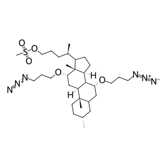 C[C@@H]1CC[C@@]2(C)C(C1)C[C@@H](OCCCN=[N+]=[N-])C1[C@@H]3CCC([C@H](C)CCCOS(C)(=O)=O)[C@@]3(C)[C@@H](OCCCN=[N+]=[N-])C[C@@H]12